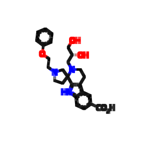 O=C(O)c1ccc2[nH]c3c(c2c1)CCN(C[C@@H](O)CO)C31CCN(CCOc2ccccc2)C1